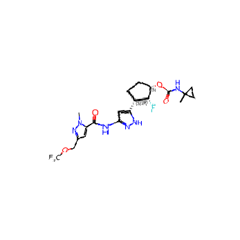 Cn1nc(COC(F)(F)F)cc1C(=O)Nc1cc([C@@H]2CC[C@H](OC(=O)NC3(C)CC3)[C@@H]2F)[nH]n1